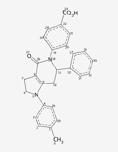 Cc1ccc(N2CCC3=C2CC(c2ccccc2)N(c2ccc(C(=O)O)cc2)C3=O)cc1